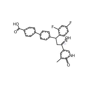 Cc1cc(/C(CC(c2ccc(-c3ccc(C(=O)O)cc3)cc2)c2ccc(F)cc2F)=N/O)c[nH]c1=O